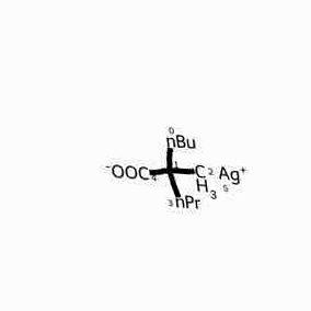 CCCCC(C)(CCC)C(=O)[O-].[Ag+]